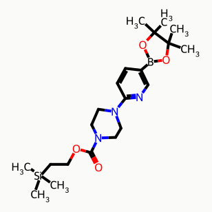 CC1(C)OB(c2ccc(N3CCN(C(=O)OCC[Si](C)(C)C)CC3)nc2)OC1(C)C